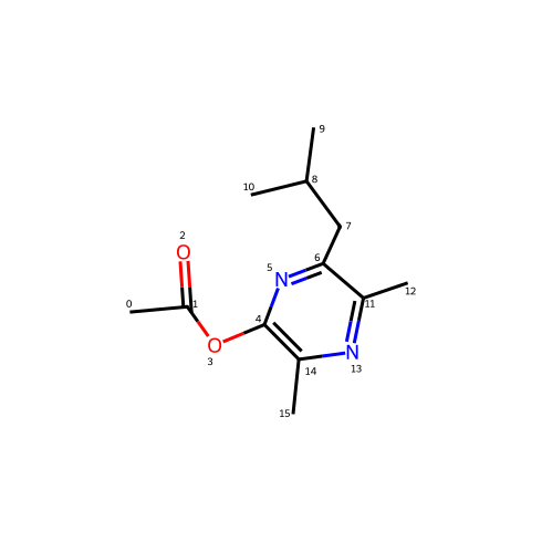 CC(=O)Oc1nc(CC(C)C)c(C)nc1C